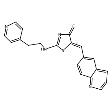 O=C1N=C(NCCc2ccncc2)S/C1=C\c1ccc2ncccc2c1